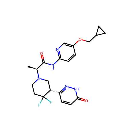 C[C@@H](C(=O)Nc1ccc(OCC2CC2)cn1)N1CCC(F)(F)[C@@H](c2ccc(=O)[nH]n2)C1